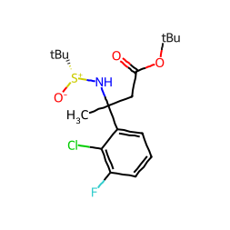 CC(C)(C)OC(=O)CC(C)(N[S@+]([O-])C(C)(C)C)c1cccc(F)c1Cl